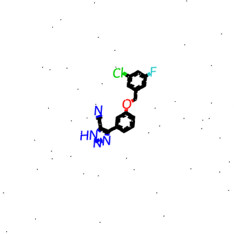 N#Cc1[nH]nnc1-c1cccc(OCc2cc(F)cc(Cl)c2)c1